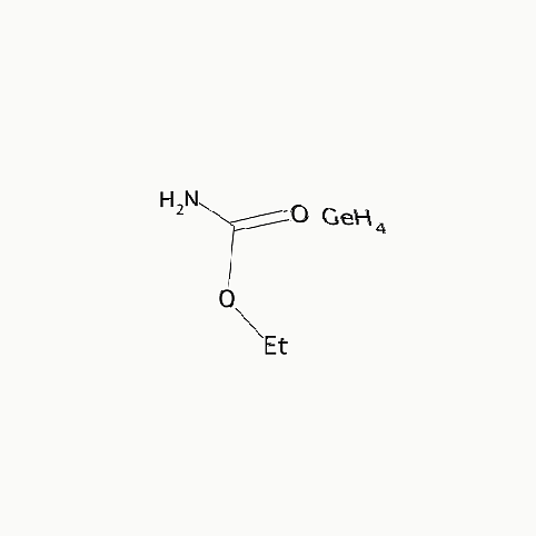 CCOC(N)=O.[GeH4]